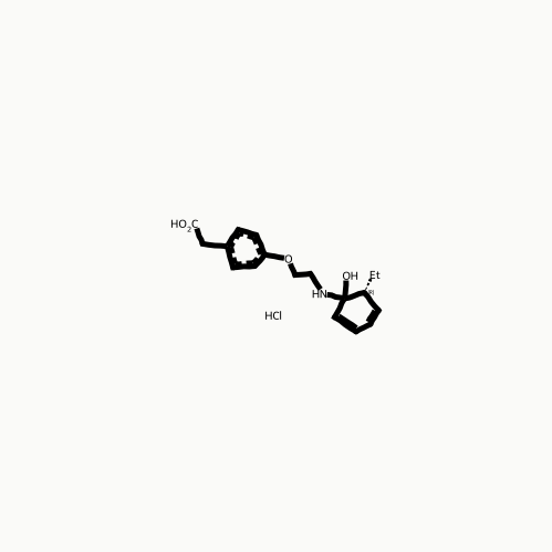 CC[C@@H]1C=CC=CC1(O)NCCOc1ccc(CC(=O)O)cc1.Cl